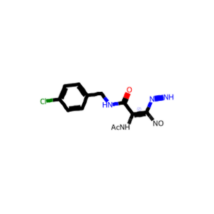 CC(=O)N/C(C(=O)NCc1ccc(Cl)cc1)=C(/N=N)N=O